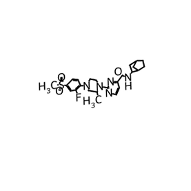 CC1CN(c2ccc(S(C)(=O)=O)cc2F)CCN1c1nccc(C(=O)NC2CC3CCC2C3)n1